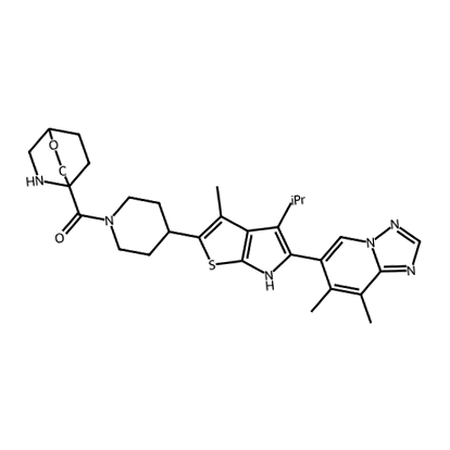 Cc1c(-c2[nH]c3sc(C4CCN(C(=O)C56CCC(CN5)OC6)CC4)c(C)c3c2C(C)C)cn2ncnc2c1C